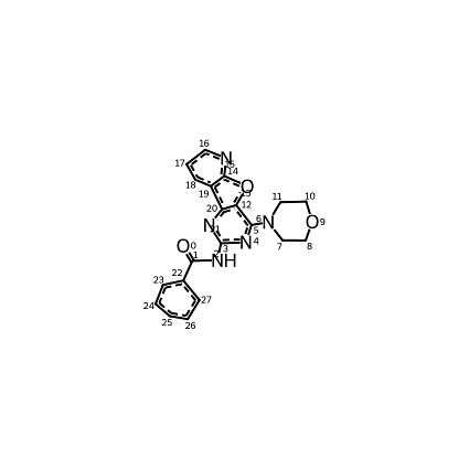 O=C(Nc1nc(N2CCOCC2)c2oc3ncccc3c2n1)c1ccccc1